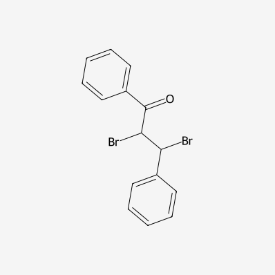 O=C(c1ccccc1)C(Br)C(Br)c1ccccc1